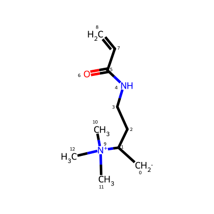 [CH2]C(CCNC(=O)C=C)[N+](C)(C)C